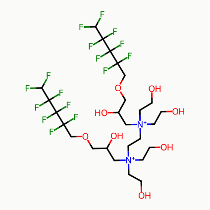 OCC[N+](CCO)(CC[N+](CCO)(CCO)CC(O)COCC(F)(F)C(F)(F)C(F)(F)C(F)F)CC(O)COCC(F)(F)C(F)(F)C(F)(F)C(F)F